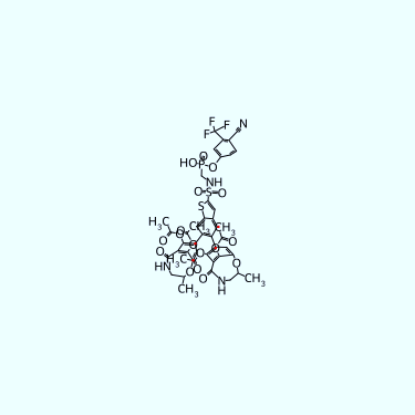 CC(=O)Oc1c2cc(-c3cc4cc(S(=O)(=O)NCP(=O)(O)Oc5ccc(C#N)c(C(F)(F)F)c5)sc4cc3-c3cc4c(OC(C)=O)c(c3OC(C)=O)C(=O)NCC(C)O4)c(OC(C)=O)c1C(=O)NCC(C)O2